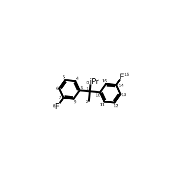 CC(C)C(C)(c1cccc(F)c1)c1cccc(F)c1